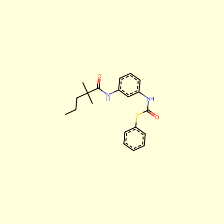 CCCC(C)(C)C(=O)Nc1cccc(NC(=O)Sc2ccccc2)c1